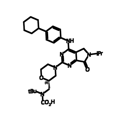 CC(C)N1Cc2c(Nc3ccc(C4CCCCC4)cc3)nc(N3CCO[C@@H](CN(C(=O)O)C(C)(C)C)C3)nc2C1=O